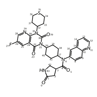 O=C1CC(C(=O)N(c2ccc3ncccc3c2)C2CCC(n3c(=O)c4cc(F)cnc4n(C4CCSCC4)c3=O)CC2)CN1